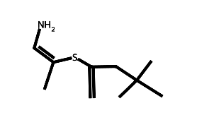 C=C(CC(C)(C)C)S/C(C)=C\N